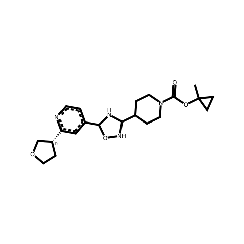 CC1(OC(=O)N2CCC(C3NOC(c4ccnc([C@@H]5CCOC5)c4)N3)CC2)CC1